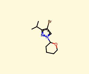 CC(C)c1nn(C2CCCCO2)cc1Br